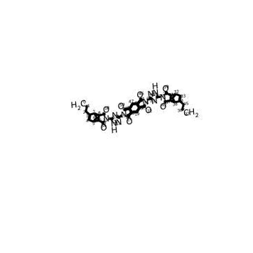 C=CCC1=CC2CC1C1C(=O)N(c3nc(-n4c(=O)c5cc6c(=O)n(-c7n[nH]c(N8C(=O)C9C%10C=C(CC=C)C(C%10)C9C8=O)n7)c(=O)c6cc5c4=O)n[nH]3)C(=O)C21